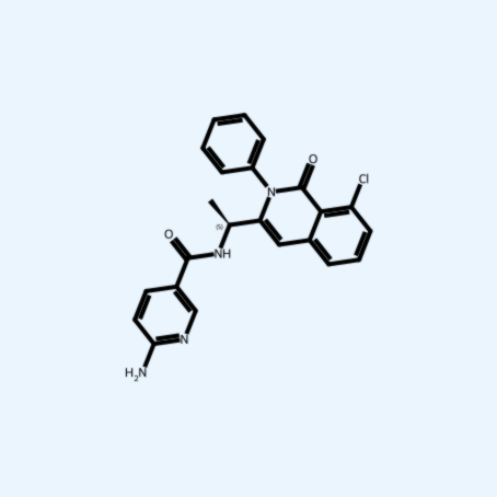 C[C@H](NC(=O)c1ccc(N)nc1)c1cc2cccc(Cl)c2c(=O)n1-c1ccccc1